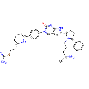 C[C@@H](N)CCCN1[C@@H](c2ccccc2)CC[C@H]1c1cc2cn(-c3ccc([C@@H]4CCC[C@@H](CCSC(=N)N)N4)cc3)c(=O)nc2[nH]1